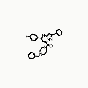 O=C(c1cc(-c2ccc(F)cc2)nc2cc(-c3ccccc3)nn12)N1CCN(Cc2ccccc2)CC1